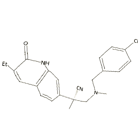 CCc1cc2ccc([C@@](C)(C#N)CN(C)Cc3ccc(C#N)cc3)cc2[nH]c1=O